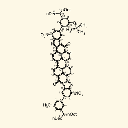 CCCCCCCCCCC(CCCCCCCC)c1cc(C)cc(-c2cc([N+](=O)[O-])c3nc4c5ccc6c7ccc8c(=O)n9c%10cc(-c%11cc(O[Si](C)(C)C)cc(C(CCCCCCCC)CCCCCCCCCC)c%11)cc([N+](=O)[O-])c%10nc9c9ccc(c%10ccc(c(=O)n4c3c2)c5c6%10)c7c89)c1